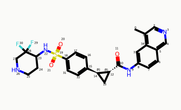 Cc1cncc2ccc(NC(=O)[C@@H]3C[C@H]3c3ccc(S(=O)(=O)NC4CCNCC4(F)F)cc3)cc12